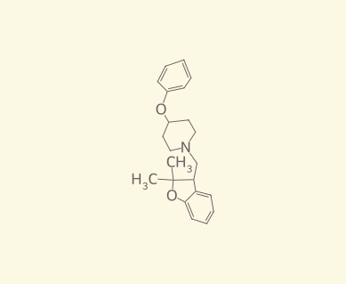 CC1(C)Oc2ccccc2C1CN1CCC(Oc2ccccc2)CC1